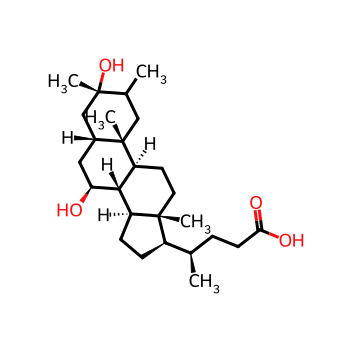 CC1C[C@@]2(C)[C@H](C[C@H](O)[C@@H]3[C@@H]2CC[C@]2(C)[C@@H]([C@H](C)CCC(=O)O)CC[C@@H]32)C[C@]1(C)O